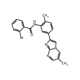 Cc1cnc2nc(-c3ccc(C)c(NC(=O)c4ccccc4Br)c3)cn2c1